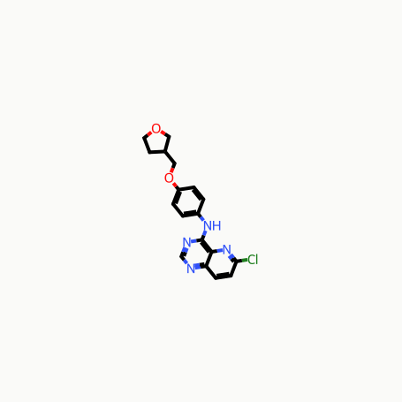 Clc1ccc2ncnc(Nc3ccc(OCC4CCOC4)cc3)c2n1